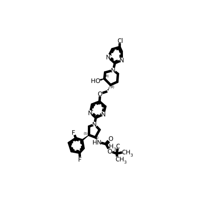 CC(C)(C)OC(=O)N[C@H]1CN(c2ncc(OC[C@H]3CCN(c4ncc(Cl)cn4)C[C@@H]3O)cn2)C[C@@H]1c1cc(F)ccc1F